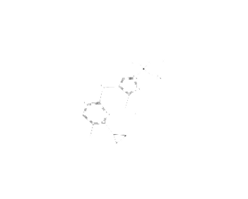 Cc1nn(C(C)(C)C#N)cc1Nc1ncc(Cl)c(C2CC2)n1